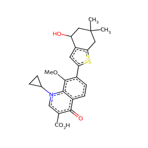 COc1c(-c2cc3c(s2)CC(C)(C)CC3O)ccc2c(=O)c(C(=O)O)cn(C3CC3)c12